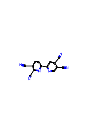 N#Cc1cnc(-c2ccc(C#N)c(C#N)n2)cc1C#N